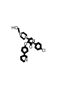 O=c1c(Oc2ccc(-c3cccnc3)cc2)c(N2CCN(CCO)CC2)cnn1-c1ccc(Cl)cc1